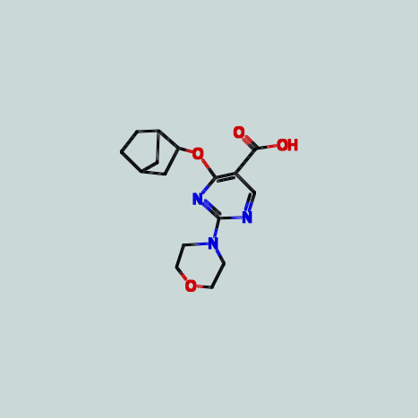 O=C(O)c1cnc(N2CCOCC2)nc1OC1CC2CCC1C2